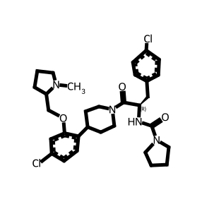 CN1CCCC1COc1cc(Cl)ccc1C1CCN(C(=O)[C@@H](Cc2ccc(Cl)cc2)NC(=O)N2CCCC2)CC1